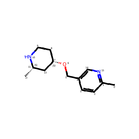 Cc1ccc(CO[C@H]2CCN[C@@H](C)C2)cn1